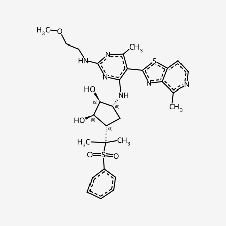 COCCNc1nc(C)c(-c2nc3c(C)nccc3s2)c(N[C@@H]2C[C@H](C(C)(C)S(=O)(=O)c3ccccc3)[C@@H](O)[C@H]2O)n1